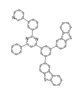 c1ccc(-c2cc(-c3cc(-c4ccc5sc6ccccc6c5c4)cc(-c4ccc5sc6ccccc6c5c4)c3)nc(-c3cccc(-c4cccnc4)c3)n2)cc1